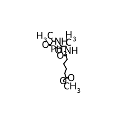 COC(=O)CCCCC(=O)NC(C)C(=O)NC(C)C(=O)P